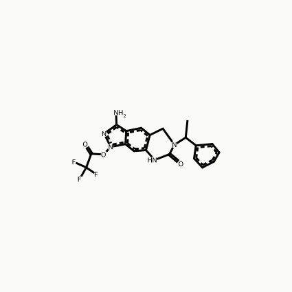 CC(c1ccccc1)N1Cc2cc3c(N)nn(OC(=O)C(F)(F)F)c3cc2NC1=O